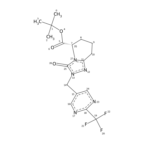 CC(C)(C)OC(=O)[C@@H]1CCCc2nn(Cc3cnc(C(F)(F)F)nc3)c(=O)n21